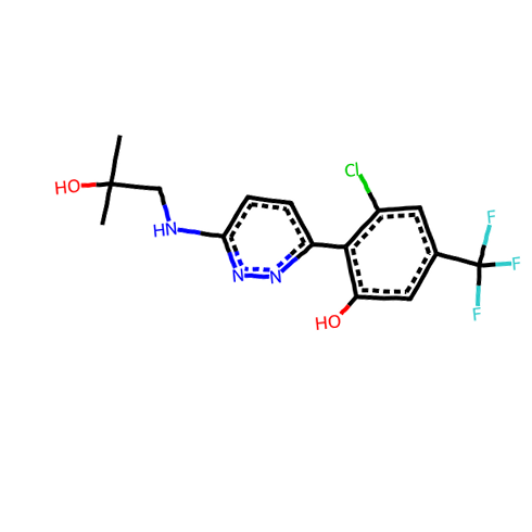 CC(C)(O)CNc1ccc(-c2c(O)cc(C(F)(F)F)cc2Cl)nn1